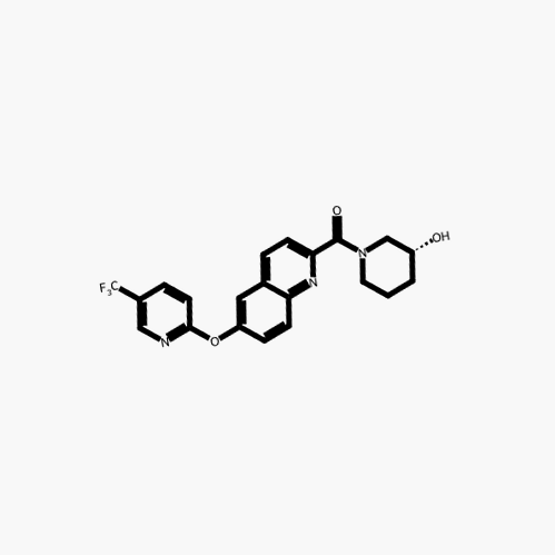 O=C(c1ccc2cc(Oc3ccc(C(F)(F)F)cn3)ccc2n1)N1CCC[C@@H](O)C1